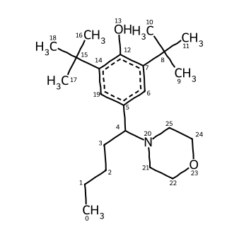 CCCCC(c1cc(C(C)(C)C)c(O)c(C(C)(C)C)c1)N1CCOCC1